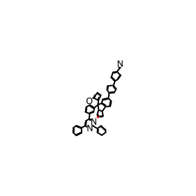 N#Cc1ccc(-c2ccc(-c3ccc4c(c3)C3(c5ccccc5Oc5ccc(-c6cc(-c7ccccc7)nc(C7=CCCC=C7)n6)cc53)C3C=CC=CC43)cc2)cc1